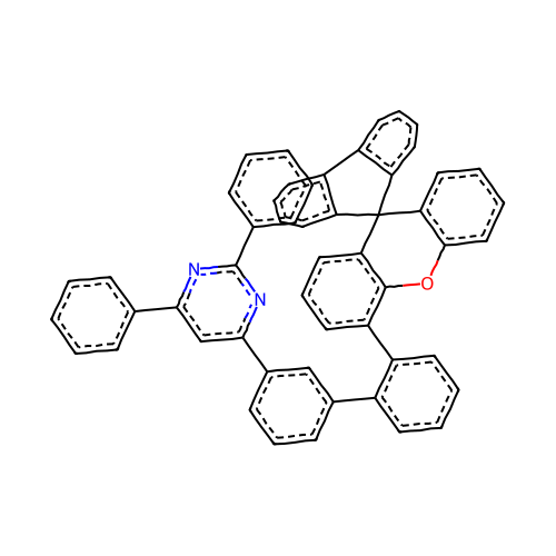 c1ccc(-c2cc(-c3cccc(-c4ccccc4-c4cccc5c4Oc4ccccc4C54c5ccccc5-c5ccccc54)c3)nc(-c3ccccc3)n2)cc1